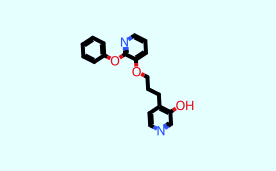 Oc1cnccc1CCCOc1cccnc1Oc1ccccc1